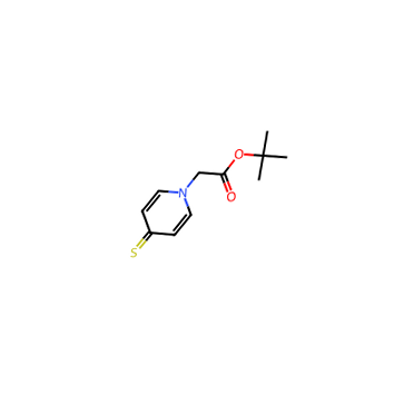 CC(C)(C)OC(=O)Cn1ccc(=S)cc1